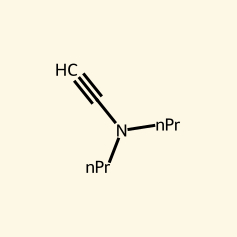 C#CN(CCC)CCC